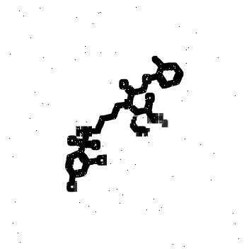 Cc1ccccc1OCC(=O)N(CCCCNS(=O)(=O)c1ccc(Cl)cc1Cl)[C@@H](CC(C)C)C(N)=O